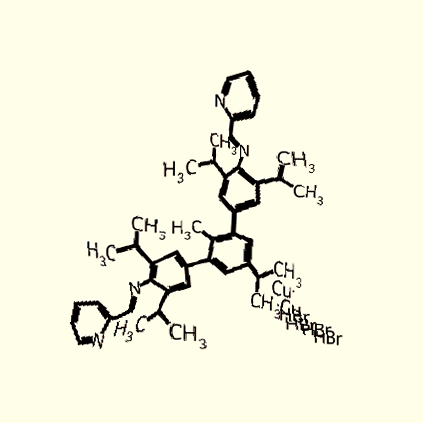 Br.Br.Br.Br.Cc1c(-c2cc(C(C)C)c(N=Cc3ccccn3)c(C(C)C)c2)cc(C(C)C)cc1-c1cc(C(C)C)c(N=Cc2ccccn2)c(C(C)C)c1.[Cu].[Cu]